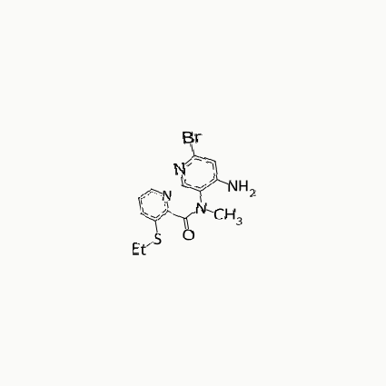 CCSc1cccnc1C(=O)N(C)c1cnc(Br)cc1N